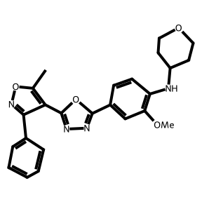 COc1cc(-c2nnc(-c3c(-c4ccccc4)noc3C)o2)ccc1NC1CCOCC1